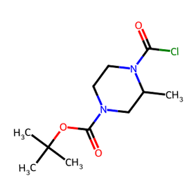 CC1CN(C(=O)OC(C)(C)C)CCN1C(=O)Cl